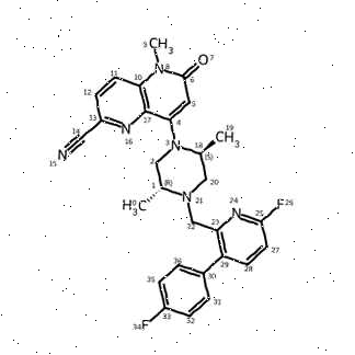 C[C@@H]1CN(c2cc(=O)n(C)c3ccc(C#N)nc23)[C@@H](C)CN1Cc1nc(F)ccc1-c1ccc(F)cc1